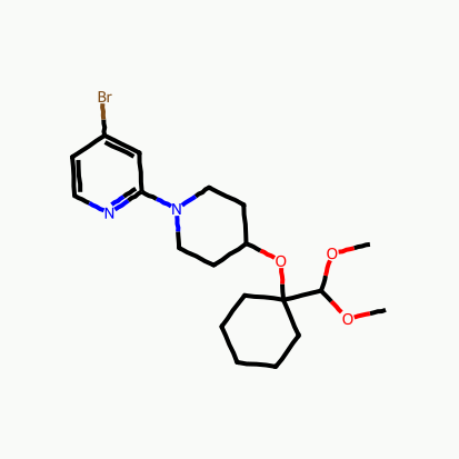 COC(OC)C1(OC2CCN(c3cc(Br)ccn3)CC2)CCCCC1